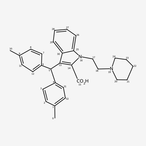 Cc1ccc(C(c2ccc(C)cc2)c2c(C(=O)O)n(CCN3CCCCC3)c3ccccc23)cc1